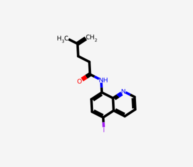 C=C(C)CCC(=O)Nc1ccc(I)c2cccnc12